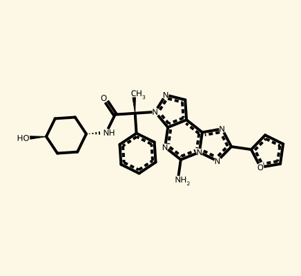 C[C@](C(=O)N[C@H]1CC[C@H](O)CC1)(c1ccccc1)n1ncc2c1nc(N)n1nc(-c3ccco3)nc21